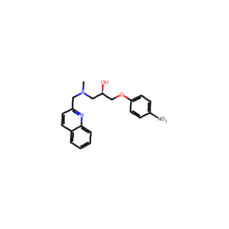 CN(Cc1ccc2ccccc2n1)C[C@@H](O)COc1ccc([N+](=O)[O-])cc1